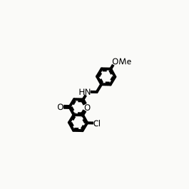 COc1ccc(CNc2cc(=O)c3cccc(Cl)c3o2)cc1